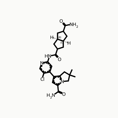 CC1(C)Cc2c(-c3cc(NC(=O)C4C[C@H]5CC(C(N)=O)C[C@H]5C4)ncc3Cl)cc(C(N)=O)n2C1